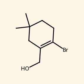 CC1(C)CCC(Br)=C(CO)C1